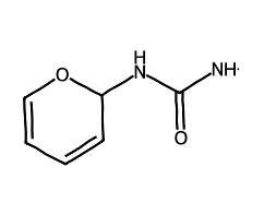 [NH]C(=O)NC1C=CC=CO1